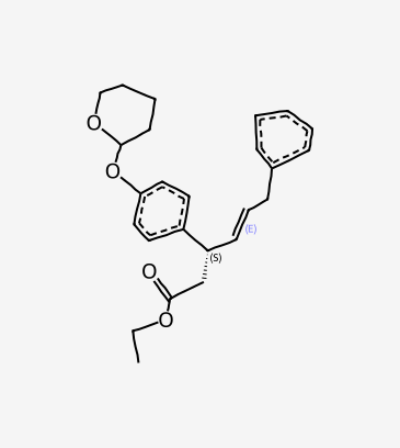 CCOC(=O)C[C@@H](/C=C/Cc1ccccc1)c1ccc(OC2CCCCO2)cc1